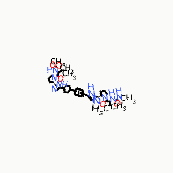 CNC(=O)N[C@H](C(=O)N1CCC[C@H]1c1ncc(C23CCC(c4ccc(-c5cnc([C@@H]6CCCN6C(=O)[C@@H](NC(=O)OC)C(C)C)[nH]5)cc4)(CC2)CC3)[nH]1)C(C)C